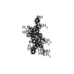 CNC(=N)NCCC[C@H](CC(=O)[C@H](CC(C)C)NC(=O)NCC(=O)[C@H](Cc1ccccc1F)NC(=O)[C@@H](CC(=O)[C@H](CC(N)=O)NC(=O)[C@@H](CC(=O)[C@@H](Cc1ccc(O)cc1)NC(C)=O)Cc1c[nH]c2ccccc12)[C@@H](C)O)C(=O)N[C@@H](Cc1c[nH]c2ccccc12)C(N)=O